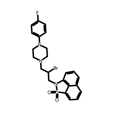 O=S1(=O)c2cccc3cccc(c23)N1CC(Br)CN1CCN(c2ccc(F)cc2)CC1